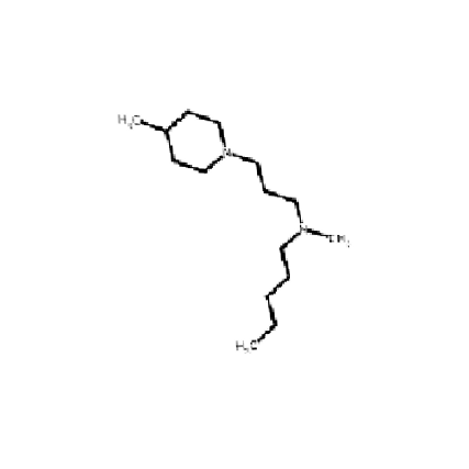 CCCCCN(C)CCCN1CCC(C)CC1